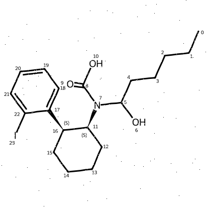 CCCCCC(O)N(C(=O)O)[C@H]1CCCC[C@H]1c1ccccc1I